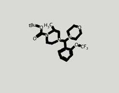 CC1CN(C(c2ccccc2OC(F)(F)F)N2CCOCC2)CCN1C(=O)OC(C)(C)C